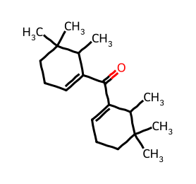 CC1C(C(=O)C2=CCCC(C)(C)C2C)=CCCC1(C)C